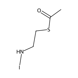 CC(=O)SCCNI